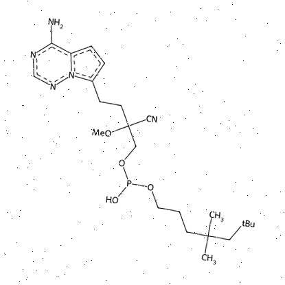 COC(C#N)(CCc1ccc2c(N)ncnn12)COP(O)OCCCC(C)(C)CC(C)(C)C